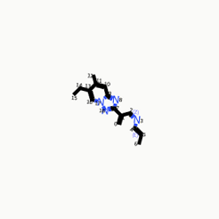 C=C(/C=N\C=C\C)c1nc2cc(C)c(CC)cn2n1